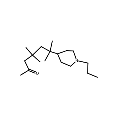 CCCN1CCC(C(C)(C)CC(C)(C)CC(C)=O)CC1